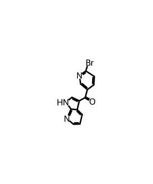 O=C(c1ccc(Br)nc1)c1c[nH]c2ncccc12